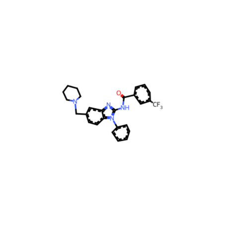 O=C(Nc1nc2cc(CN3CCCCC3)ccc2n1-c1ccccc1)c1cccc(C(F)(F)F)c1